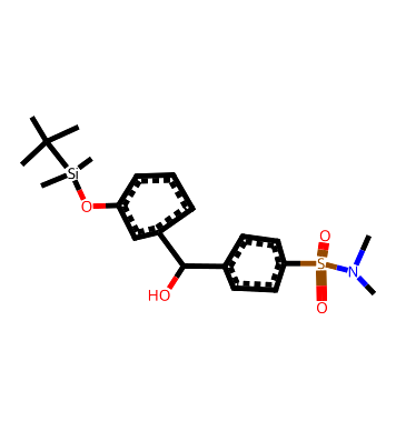 CN(C)S(=O)(=O)c1ccc(C(O)c2cccc(O[Si](C)(C)C(C)(C)C)c2)cc1